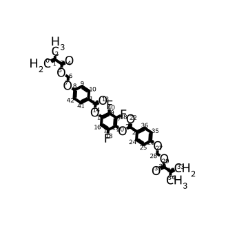 C=C(C)C(=O)OCOc1ccc(C(=O)Oc2cc(F)c(OC(=O)c3ccc(OCOC(=O)C(=C)C)cc3)c(F)c2F)cc1